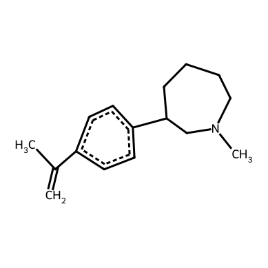 C=C(C)c1ccc(C2CCCCN(C)C2)cc1